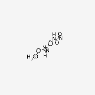 COc1cccc(-c2nc(-c3ccc(NC(=O)c4cocn4)cc3)n[nH]2)c1